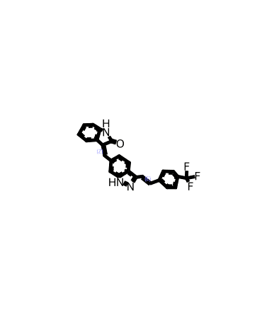 O=C1Nc2ccccc2/C1=C/c1ccc2c(/C=C/c3ccc(C(F)(F)F)cc3)n[nH]c2c1